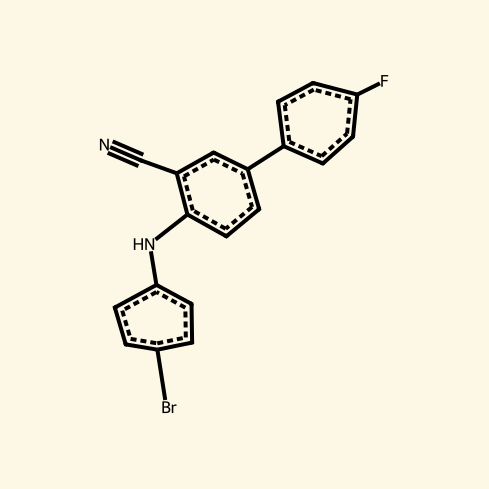 N#Cc1cc(-c2ccc(F)cc2)ccc1Nc1ccc(Br)cc1